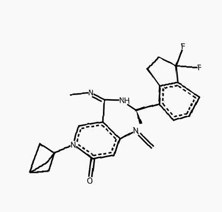 C=Nc1cc(=O)n(C23CC(C2)C3)cc1/C(=N\C)N[C@H](C)c1cccc2c1CCC2(F)F